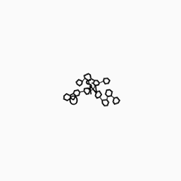 c1ccc(-c2cc(N(c3ccc(-c4ccc5c(c4)oc4ccccc45)cc3)c3ccc(-c4ccccc4-c4ccccc4-c4ccccc4)cc3)c3sc4c(-c5ccccc5)cccc4c3c2)cc1